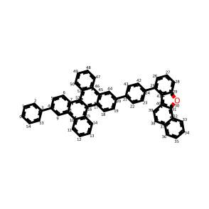 c1ccc(-c2ccc3c(c2)c2ccccc2c2c4ccc(-c5ccc(-c6cccc7oc8c9ccccc9ccc8c67)cc5)cc4c4ccccc4c32)cc1